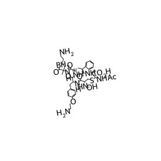 BC(=O)C(C)(CCCCN)NC(=O)[C@H](Cc1c[nH]c2ccccc12)NC(=O)C(Cc1ccc(OCCN)cc1)NC(=O)C(CSC(NC(C)=O)C(=O)O)NO